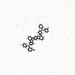 Fc1cccc(N(c2ccccc2)c2ccc3c(c2)c2cccc4c5cc6c(cc5n3c24)c2cccc3c4cc(N(c5ccccc5)c5cccc(F)c5)ccc4n6c32)c1